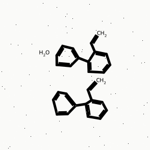 C=Cc1ccccc1-c1ccccc1.C=Cc1ccccc1-c1ccccc1.O